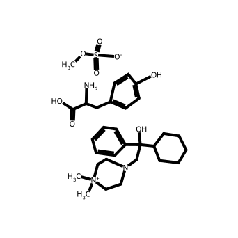 COS(=O)(=O)[O-].C[N+]1(C)CCN(CC(O)(c2ccccc2)C2CCCCC2)CC1.NC(Cc1ccc(O)cc1)C(=O)O